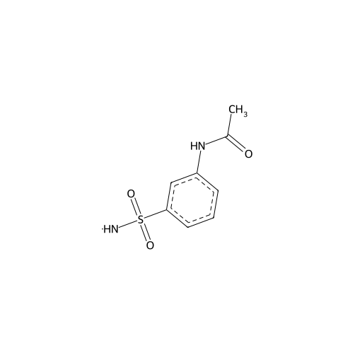 CC(=O)Nc1cccc(S([NH])(=O)=O)c1